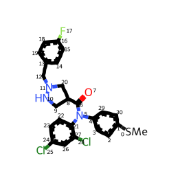 CSc1ccc(N(C(=O)C2CNN(Cc3ccc(F)cc3)C2)c2ccc(Cl)cc2Cl)cc1